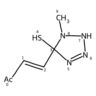 CC(=O)/C=C/C1(S)N=NNN1C